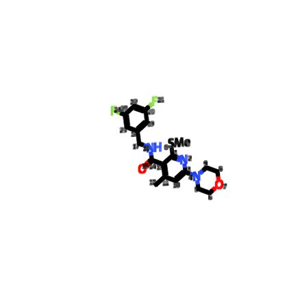 CSc1nc(N2CCOCC2)cc(C)c1C(=O)NCc1cc(F)cc(F)c1